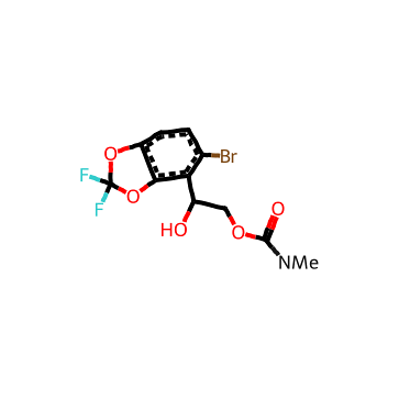 CNC(=O)OCC(O)c1c(Br)ccc2c1OC(F)(F)O2